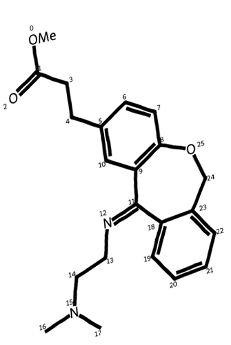 COC(=O)CCc1ccc2c(c1)/C(=N/CCN(C)C)c1ccccc1CO2